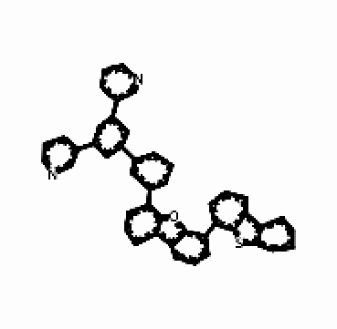 c1cncc(-c2cc(-c3cccnc3)cc(-c3cccc(-c4cccc5c4oc4c(-c6cccc7c6sc6ccccc67)cccc45)c3)c2)c1